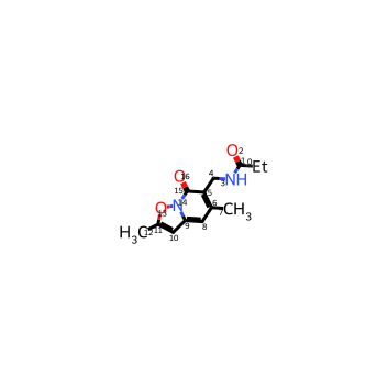 CCC(=O)NCc1c(C)cc2cc(C)on2c1=O